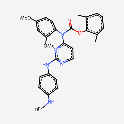 CCCNc1ccc(Nc2nccc(N(C(=O)Oc3c(C)cccc3C)c3ccc(OC)cc3OC)n2)cc1